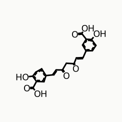 O=C(C=Cc1ccc(O)c(C(=O)O)c1)CC(=O)C=Cc1ccc(O)c(C(=O)O)c1